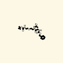 COC(=O)C[C@H](NC(=O)OCc1ccccc1)C(=O)NCCOCCNC(=O)OC(C)(C)C